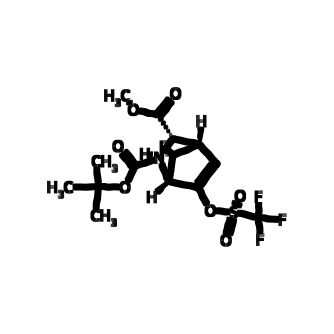 COC(=O)[C@@H]1[C@@H]2C=C(OS(=O)(=O)C(F)(F)F)[C@@H]([C@H]2F)N1C(=O)OC(C)(C)C